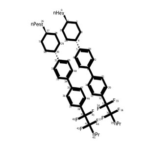 CCCCCC[C@H]1CC[C@H](c2ccc(-c3ccc(C(F)(F)C(F)(F)CCC)cc3)cc2)CC1.CCCCC[C@H]1CC[C@H](c2ccc(-c3ccc(C(F)(F)C(F)(F)CCC)cc3)cc2)CC1